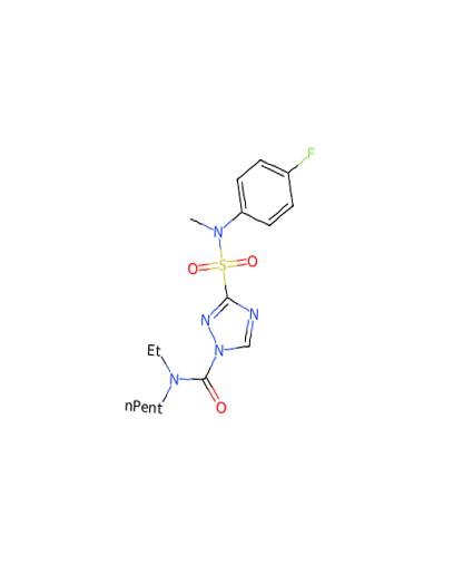 CCCCCN(CC)C(=O)n1cnc(S(=O)(=O)N(C)c2ccc(F)cc2)n1